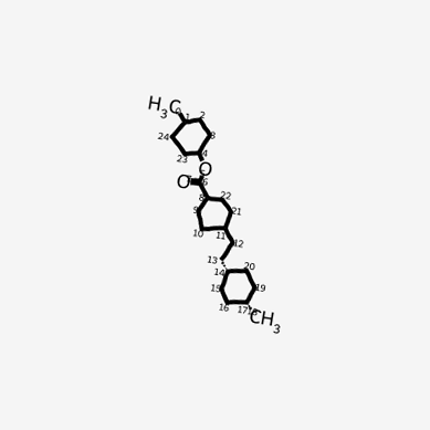 CC1CCC(OC(=O)C2CCC(CC[C@H]3CC[C@@H](C)CC3)CC2)CC1